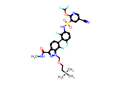 CNC(=O)c1nn(COCC[Si](C)(C)C)c2c(F)c(-c3c(F)ccc(NS(=O)(=O)c4cc(C#N)cnc4OC(F)F)c3F)ccc12